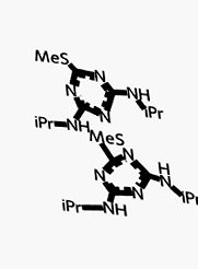 CSc1nc(NC(C)C)nc(NC(C)C)n1.CSc1nc(NC(C)C)nc(NC(C)C)n1